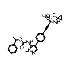 C[C@@H](OC(=O)Nc1c(-c2ccc(C#CC(=O)NC3(C(=O)O)CC3)cc2)cnn1C)c1ccccc1